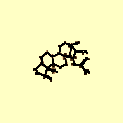 C=C1[C@@H]2CCC3C4CC=C5COC(=O)C5(C)C4CC[C@]3(C2)[C@H]1OC(C)=O